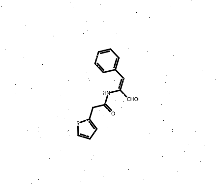 O=[C]C(=Cc1ccccc1)NC(=O)Cc1cccs1